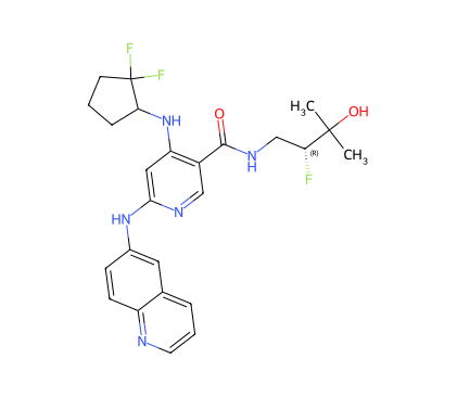 CC(C)(O)[C@H](F)CNC(=O)c1cnc(Nc2ccc3ncccc3c2)cc1NC1CCCC1(F)F